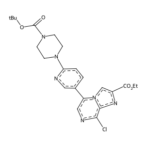 CCOC(=O)c1cn2c(-c3ccc(N4CCN(C(=O)OC(C)(C)C)CC4)nc3)cnc(Cl)c2n1